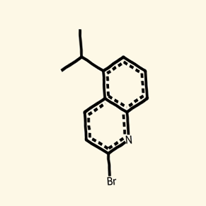 CC(C)c1cccc2nc(Br)ccc12